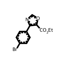 CCOC(=O)c1ocnc1-c1ccc(Br)cc1